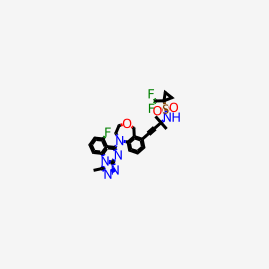 Cc1nnc2nc(N3CCOCc4c(C#CC(C)(C)NS(=O)(=O)C5(C(F)F)CC5)cccc43)c3c(F)cccc3n12